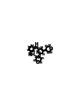 Nc1ccnc(NC2=NC(N3CCOCC3)CC(C3CCOCC3)=C2)c1